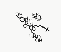 CC(C)(C)C#CCCCC(=O)NC(CCCCNC(=O)O)C(=O)Nc1ccc(CO)cc1.CSc1ncccn1